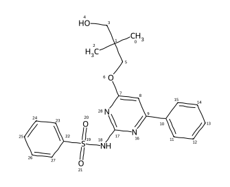 CC(C)(CO)COc1cc(-c2ccccc2)nc(NS(=O)(=O)c2ccccc2)n1